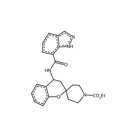 CCOC(=O)N1CCC2(CC1)CC(NC(=O)c1cccc3cn[nH]c13)c1ccccc1O2